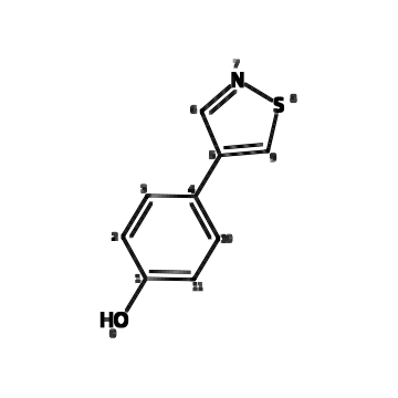 Oc1ccc(-c2cnsc2)cc1